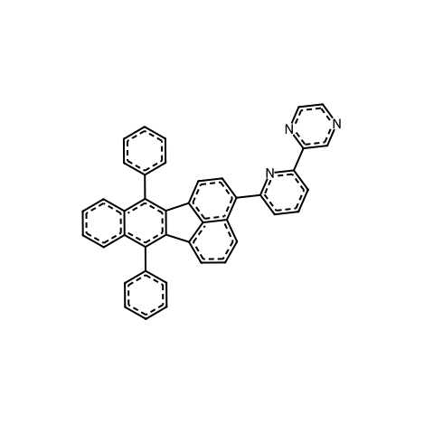 c1ccc(-c2c3c(c(-c4ccccc4)c4ccccc24)-c2ccc(-c4cccc(-c5cnccn5)n4)c4cccc-3c24)cc1